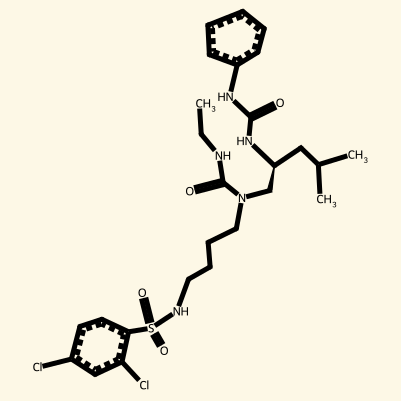 CCNC(=O)N(CCCCNS(=O)(=O)c1ccc(Cl)cc1Cl)C[C@H](CC(C)C)NC(=O)Nc1ccccc1